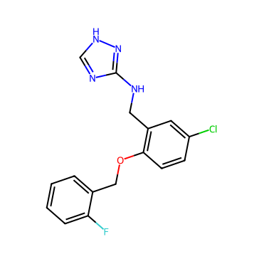 Fc1ccccc1COc1ccc(Cl)cc1CNc1nc[nH]n1